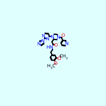 COc1ccc(CCNC(=O)CC2CN(C(=O)c3cccnc3)CCN2c2ccnc(-n3ccnc3)n2)cc1OC